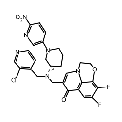 O=c1c(CN(Cc2ccncc2Cl)[C@H]2CCCN(c3ccc([N+](=O)[O-])nc3)C2)cn2c3c(c(F)c(F)cc13)OCC2